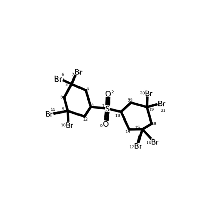 O=S(=O)(C1CC(Br)(Br)CC(Br)(Br)C1)C1CC(Br)(Br)CC(Br)(Br)C1